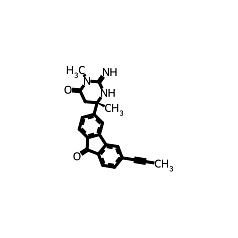 CC#Cc1ccc2c(c1)-c1cc([C@]3(C)CC(=O)N(C)C(=N)N3)ccc1C2=O